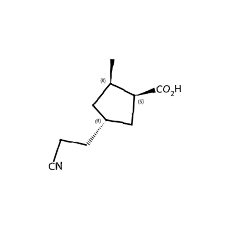 C[C@@H]1C[C@@H](CCC#N)C[C@@H]1C(=O)O